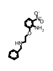 Nc1c(OCCNCc2ccccc2)cccc1[N+](=O)[O-]